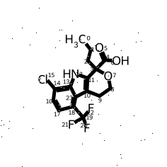 CCCC1(C(=O)O)OCCc2c1[nH]c1c(Cl)ccc(C(F)(F)F)c21